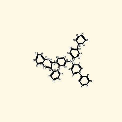 c1ccc(-c2ccc(N(c3ccc(-c4ccccc4)cc3)c3ccc(-c4nc5ccccc5nc4-c4ccccc4)cc3)cc2)cc1